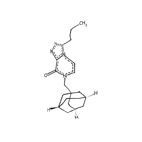 CCCc1nnc2c(=O)n(CC34C[C@H]5C[C@H](C3)C[C@@H](C4)C5)ccn12